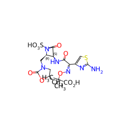 CC1CN(C[C@@H]2[C@H](NC(=O)C(=NOC(C)(C)C(=O)O)c3csc(N)n3)C(=O)N2S(=O)(=O)O)C(=O)O1